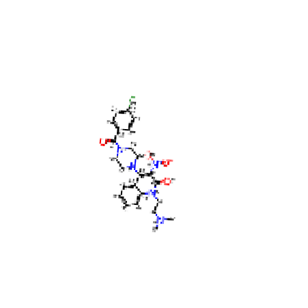 CN(C)CCn1c(=O)c([N+](=O)[O-])c(N2CCN(C(=O)c3ccc(Cl)cc3)CC2)c2ccccc21